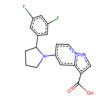 O=C(O)c1cnn2ccc(N3CCCC3c3cc(F)cc(F)c3)cc12